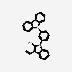 C=Cc1c(CC)n(-c2cccc(-n3c4ccccc4c4ccccc43)c2)c2ccccc12